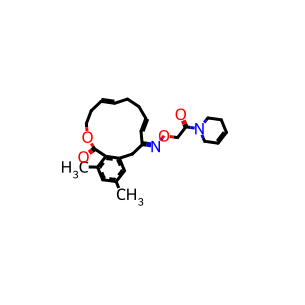 Cc1cc(C)c2c(c1)CC(=N/OCC(=O)N1CC=CCC1)/C=C/CC/C=C/CCOC2=O